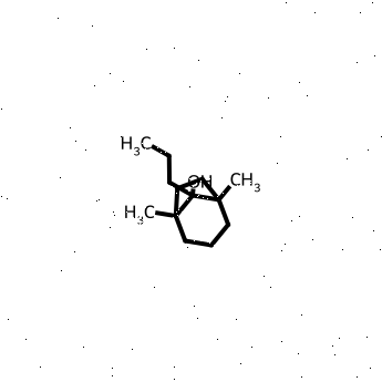 CCCC1(O)C2(C)CCCC1(C)CC2